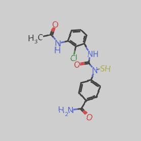 CC(=O)Nc1cccc(NC(=O)N(S)c2ccc(C(N)=O)cc2)c1Cl